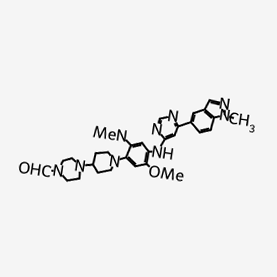 CNc1cc(Nc2cc(-c3ccc4c(cnn4C)c3)ncn2)c(OC)cc1N1CCC(N2CCN(C=O)CC2)CC1